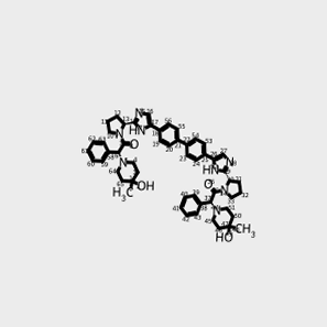 CC1(O)CCN([C@@H](C(=O)N2CCC[C@H]2c2ncc(-c3ccc(-c4ccc(-c5cnc([C@@H]6CCCN6C(=O)[C@@H](c6ccccc6)N6CCC(C)(O)CC6)[nH]5)cc4)cc3)[nH]2)c2ccccc2)CC1